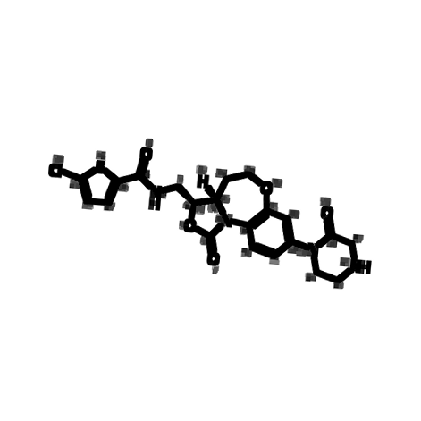 O=C(NC[C@@H]1OC(=O)N2c3ccc(N4CCNCC4=O)cc3OCC[C@@H]12)c1ccc(Cl)s1